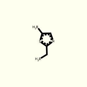 BCc1ncc(B)s1